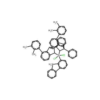 Cc1cccc(-c2cccc3c2C=C(c2ccccc2)[CH]3[Zr]([Cl])([Cl])([c]2cccc3c2[SiH2]c2ccccc2-3)[CH]2C(c3ccccc3)=Cc3c(-c4cccc(C)c4C)cccc32)c1C